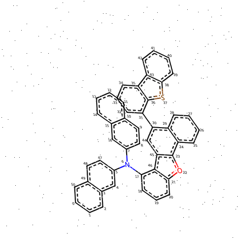 c1ccc2cc(N(c3ccc4ccccc4c3)c3cccc4oc5c6ccccc6c(-c6cccc7c6sc6ccccc67)cc5c34)ccc2c1